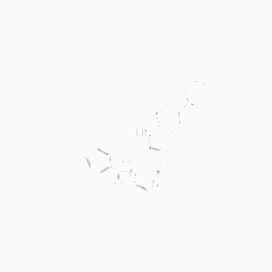 Cc1ccc(S(=O)(=O)N2C=CNC(=O)[C@H]2CC(=O)N[C@H]2CC[C@H](N3CCOCC3)CC2(C)C)cc1